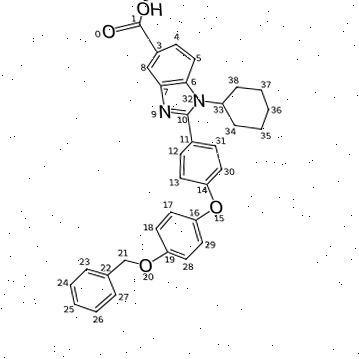 O=C(O)c1ccc2c(c1)nc(-c1ccc(Oc3ccc(OCc4ccccc4)cc3)cc1)n2C1CCCCC1